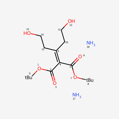 CC(C)(C)OC(=O)C(C(=O)OC(C)(C)C)=C(CCO)CCO.N.N